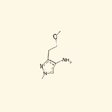 COCCc1nn(C)cc1N